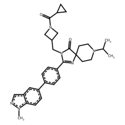 CC(C)N1CCC2(CC1)N=C(c1ccc(-c3ccc4c(cnn4C)c3)cc1)N(CC1CN(C(=O)C3CC3)C1)C2=O